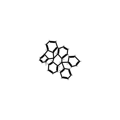 Clc1cccc2c1C1(c3ccccc3-2)c2ccccc2C(c2ccccc2)(c2ccccc2)c2ccccc21